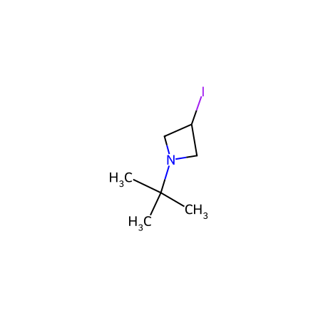 CC(C)(C)N1CC(I)C1